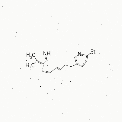 CCc1ccc(CC/C=C/C=C\C(C=N)=C(C)C)cn1